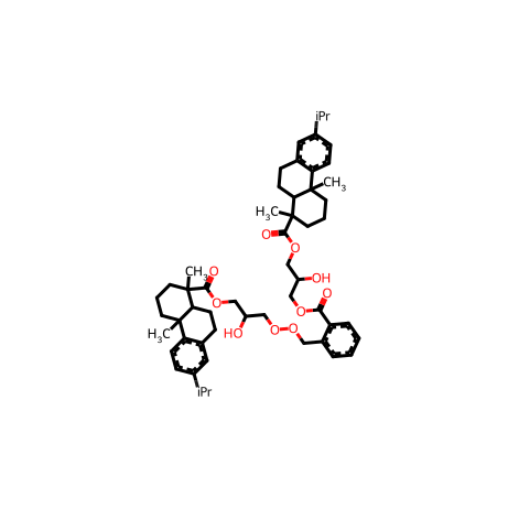 CC(C)c1ccc2c(c1)CCC1C(C)(C(=O)OCC(O)COOCc3ccccc3C(=O)OCC(O)COC(=O)C3(C)CCCC4(C)c5ccc(C(C)C)cc5CCC34)CCCC21C